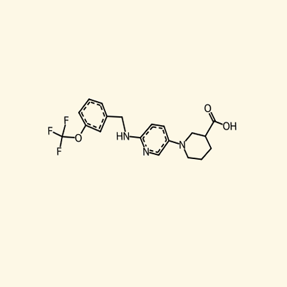 O=C(O)C1CCCN(c2ccc(NCc3cccc(OC(F)(F)F)c3)nc2)C1